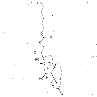 C[C@]12C=CC(=O)C=C1CC[C@@H]1[C@@H]2[C@@H](O)C[C@@]2(C)[C@H]1CC[C@]2(O)C(=O)COC(=O)OCCCCCN